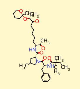 CCC(C)(C)C(=O)N[C@@H](Cc1ccccc1)C(=O)N1C[C@@H](C)C[C@@H]1C(=O)N[C@@H](CCCCCC(=O)[C@@H](C)OC1(C)CCCCO1)C(C)=O